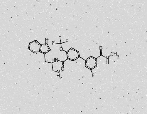 CNC(=O)c1cc(F)cc(-c2ccc(OC(F)(F)F)c(C(=O)NC(CN)Cc3c[nH]c4ccccc34)c2)c1